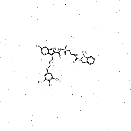 Cc1cc(OCCCc2c(C(=O)NS(=O)(=O)CCNC(=O)[C@@H]3Cc4ccccc4N3C)[nH]c3cc(Cl)ccc23)cc(C)c1Cl